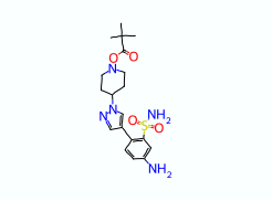 CC(C)(C)C(=O)ON1CCC(n2cc(-c3ccc(N)cc3S(N)(=O)=O)cn2)CC1